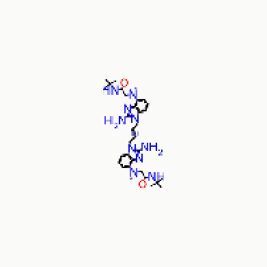 CN(CC(=O)NC(C)(C)C)c1cccc2c1nc(N)n2C/C=C/Cn1c(N)nc2c(N(C)CC(=O)NC(C)(C)C)cccc21